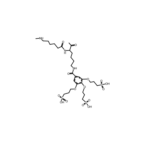 CNCCCCCC(=O)NC(CCCCNC(=O)c1cc(OCCCS(=O)(=O)O)c(OCCCS(=O)(=O)O)c(OCCCS(=O)(=O)O)c1)C(C)=O